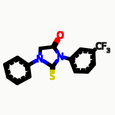 O=C1CN(c2ccccc2)C(=S)N1c1cccc(C(F)(F)F)c1